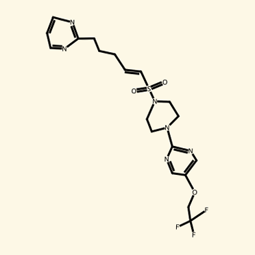 O=S(=O)(C=CCCCc1ncccn1)N1CCN(c2ncc(OCC(F)(F)F)cn2)CC1